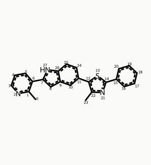 Cc1ncccc1-c1cc2cc(-c3sc(-c4ccccc4)nc3C)ccc2[nH]1